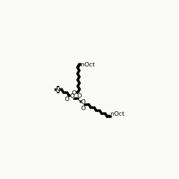 CCCCCCCC/C=C\CCCCCCCC(=O)OC[C@H](COC(=O)CCC[N+](C)(C)C)OC(=O)CCCCCCC/C=C\CCCCCCCC